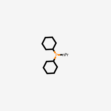 [CH2]CCP(C1CCCCC1)C1CCCCC1